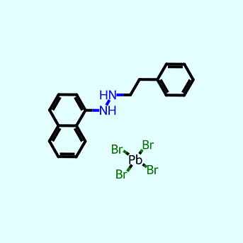 [Br][Pb]([Br])([Br])[Br].c1ccc(CCNNc2cccc3ccccc23)cc1